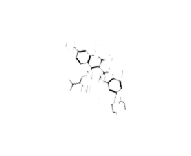 CC(C)[C@@H](N)CNc1c(-c2nc3cc(N4CCOCC4)ccc3[nH]2)c(=O)[nH]c2cc(Cl)ccc12